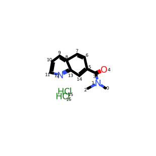 CN(C)C(=O)c1ccc2cccnc2c1.Cl.Cl